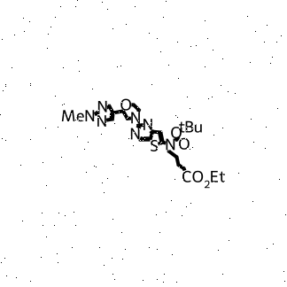 CCOC(=O)CCCCN(C(=O)OC(C)(C)C)c1cc2nc(N3CCOC(c4cnc(NC)nc4)C3)ncc2s1